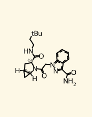 CC(C)(C)CCNC(=O)[C@@H]1C[C@H]2C[C@H]2N1C(=O)Cn1nc(C(N)=O)c2ccccc21